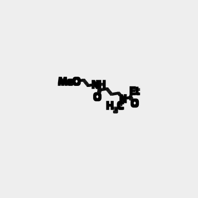 CCC(=O)N(C)CCCC(=O)NCCOC